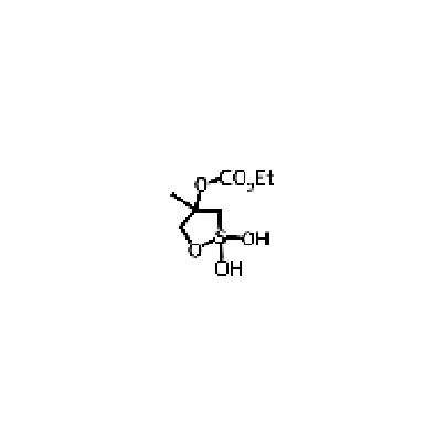 CCOC(=O)OC1(C)COS(O)(O)C1